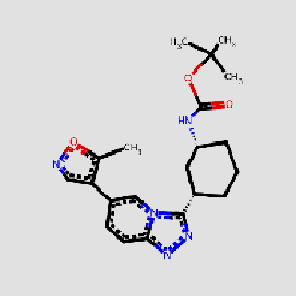 Cc1oncc1-c1ccc2nnc([C@H]3CCC[C@@H](NC(=O)OC(C)(C)C)C3)n2c1